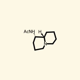 CC(=O)N[C@H]1CCCN2CCCC[C@@H]12